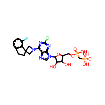 O=P(O)(O)CP(=O)(O)OCC1OC(n2cnc3c(N4CC5(CCc6cccc(F)c65)C4)nc(Cl)nc32)C(O)C1O